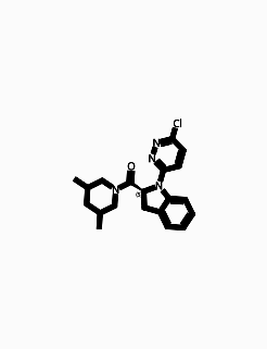 CC1CC(C)CN(C(=O)[C@@H]2Cc3ccccc3N2c2ccc(Cl)nn2)C1